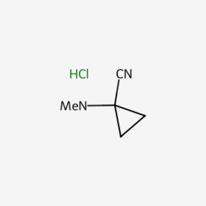 CNC1(C#N)CC1.Cl